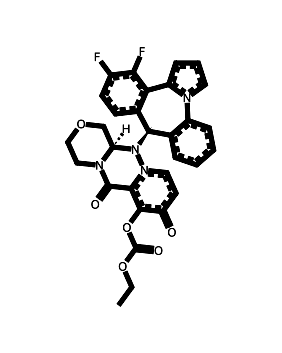 CCOC(=O)Oc1c2n(ccc1=O)N([C@@H]1c3ccccc3-n3cccc3-c3c1ccc(F)c3F)[C@@H]1COCCN1C2=O